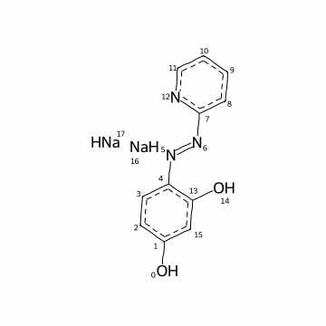 Oc1ccc(/N=N/c2ccccn2)c(O)c1.[NaH].[NaH]